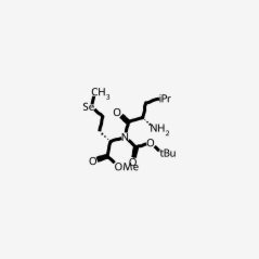 COC(=O)[C@H](CC[Se]C)N(C(=O)OC(C)(C)C)C(=O)[C@@H](N)CC(C)C